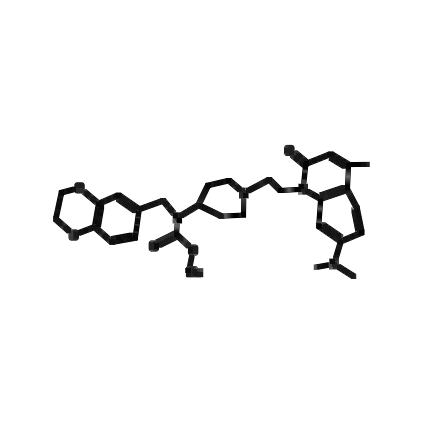 Cc1cc(=O)n(CCN2CCC(N(Cc3ccc4c(c3)OCCO4)C(=O)OC(C)(C)C)CC2)c2cc(N(C)C)ccc12